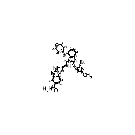 CCn1nc(C)cc1Nc1nc2cccc(CN3CCOCC3)c2n1C/C=C/Cn1c(N)nc2cc(C(N)=O)ccc21